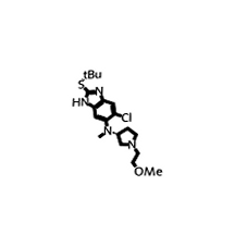 COCCN1CC[C@@H](N(C)c2cc3[nH]c(SC(C)(C)C)nc3cc2Cl)C1